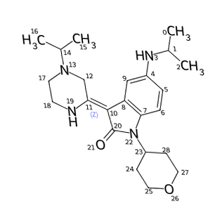 CC(C)Nc1ccc2c(c1)/C(=C1\CN(C(C)C)CCN1)C(=O)N2C1CCOCC1